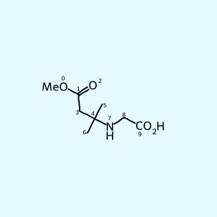 COC(=O)CC(C)(C)NCC(=O)O